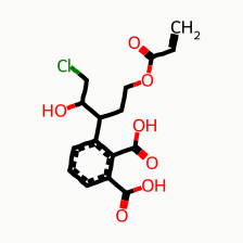 C=CC(=O)OCCC(c1cccc(C(=O)O)c1C(=O)O)C(O)CCl